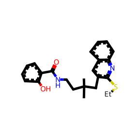 CCSc1nc2ccccc2cc1CC(C)(C)CCNC(=O)c1ccccc1O